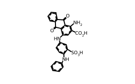 Nc1c(C(=O)O)cc(Nc2ccc(Nc3ccccc3)c(S(=O)(=O)O)c2)c2c1C(=O)c1ccccc1C2=O